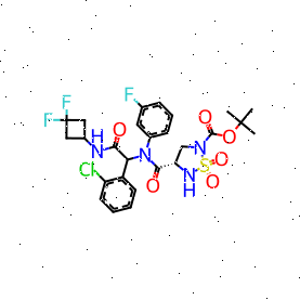 CC(C)(C)OC(=O)N1C[C@@H](C(=O)N(c2cccc(F)c2)C(C(=O)NC2CC(F)(F)C2)c2ccccc2Cl)NS1(=O)=O